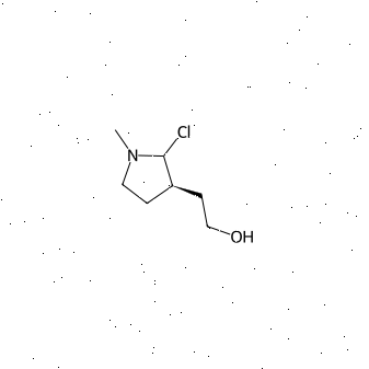 CN1CC[C@H](CCO)C1Cl